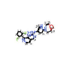 Fc1cccc(F)c1-c1nccc2cnc(Nc3ccc(N4CCOCC4)nc3)nc12